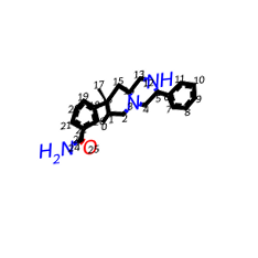 CC1CN2CC(c3ccccc3)NCC2C[C@@]1(C)c1cccc(C(N)=O)c1